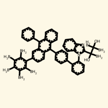 Bc1c(B)c(B)c(-c2ccc3c(-c4ccc(-c5ccccc5-n5c(C(B)(O)C(B)(B)O)nc6ccccc65)cc4)c4ccccc4c(-c4ccccc4)c3c2)c(B)c1B